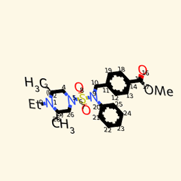 CCN1[C@H](C)CN(S(=O)(=O)N(Cc2ccc(C(=O)OC)cc2)c2ccccc2)C[C@@H]1C